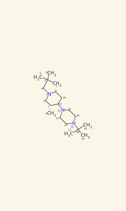 C[C@@H]1CN(CC(C)(C)C)CCC1N1CCN(C(C)(C)C)CC1